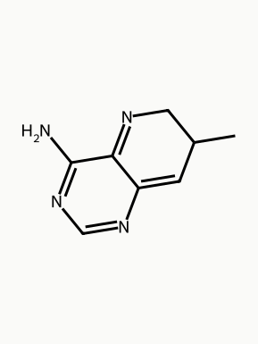 CC1C=c2ncnc(N)c2=NC1